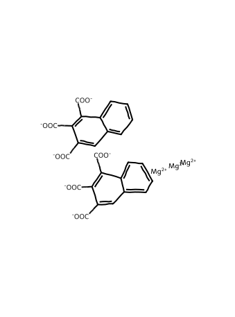 O=C([O-])c1cc2ccccc2c(C(=O)[O-])c1C(=O)[O-].O=C([O-])c1cc2ccccc2c(C(=O)[O-])c1C(=O)[O-].[Mg+2].[Mg+2].[Mg+2]